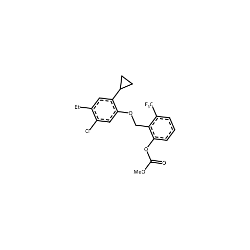 CCc1cc(C2CC2)c(OCc2c(OC(=O)OC)cccc2C(F)(F)F)cc1Cl